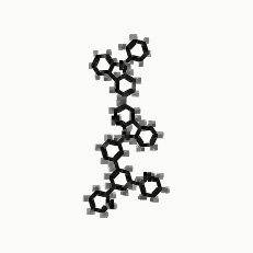 c1ccc(-n2c3ccccc3c3cc(-c4cnc5c(c4)c4ccccc4n5-c4cccc(-c5cc(-c6ccccn6)cc(-c6ccccn6)c5)c4)ccc32)cc1